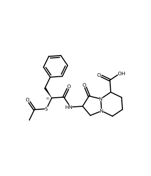 CC(=O)S[C@@H](Cc1ccccc1)C(=O)NC1CN2CCCC(C(=O)O)N2C1=O